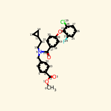 COC(=O)c1ccc(CN(CCC2CC2)C(=O)c2ccc(Oc3c(F)cccc3Cl)cc2)cc1